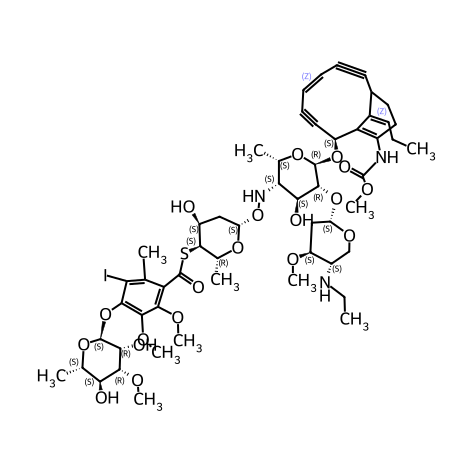 CC/C=C1\C2=C(NC(=O)OC)CCC1C#C/C=C\C#C[C@@H]2O[C@@H]1O[C@@H](C)[C@@H](NO[C@H]2C[C@H](O)[C@H](SC(=O)c3c(C)c(I)c(O[C@@H]4O[C@@H](C)[C@H](O)[C@@H](OC)[C@H]4O)c(OC)c3OC)[C@@H](C)O2)[C@H](O)[C@H]1O[C@H]1C[C@H](OC)[C@@H](NCC)CO1